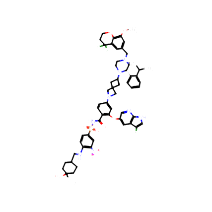 COc1cc(CN2CCN(C3CC4(C3)CN(c3ccc(C(=O)NS(=O)(=O)c5ccc(NCC6CCC(C)(O)CC6)c([N+](=O)[O-])c5)c(Oc5cnc6[nH]cc(F)c6c5)c3)C4)[C@H](c3ccccc3C(C)C)C2)cc2c1OCCC2(F)F